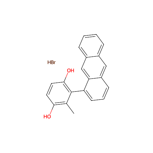 Br.Cc1c(O)ccc(O)c1-c1cccc2cc3ccccc3cc12